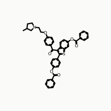 CC1CCN(CCOc2ccc(C(=O)c3c(-c4ccc(OC(=O)c5ccccc5)cc4)sc4cc(OC(=O)c5ccccc5)ccc34)cc2)C1